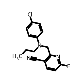 CCCN(Cc1nc(F)ccc1C#N)c1ccc(Cl)cc1